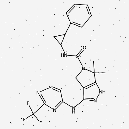 CC1(C)c2[nH]nc(Nc3ccnc(C(F)(F)F)n3)c2CN1C(=O)NC1CC1c1ccccc1